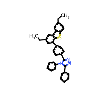 CCc1ccc2sc3c(-c4ccc(-c5nnc(-c6ccccc6)n5-c5ccccc5)cc4)cc(CC)cc3c2c1